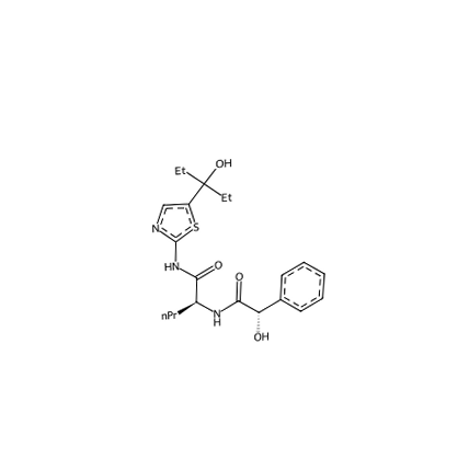 CCC[C@H](NC(=O)[C@@H](O)c1ccccc1)C(=O)Nc1ncc(C(O)(CC)CC)s1